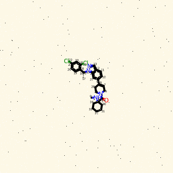 CNC1(C(=O)N2CC=C(c3ccc4cnn([C@H](C)c5ccc(Cl)cc5Cl)c4c3)CC2)CCCCC1